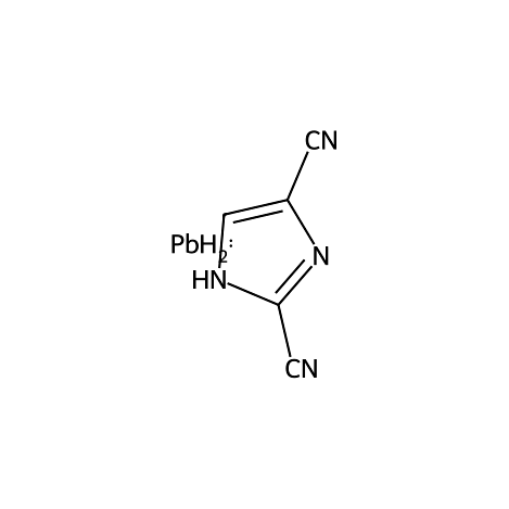 N#Cc1c[nH]c(C#N)n1.[PbH2]